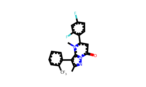 Cc1nn2c(=O)cc(-c3ccc(F)cc3F)n(C)c2c1-c1ccccc1C(F)(F)F